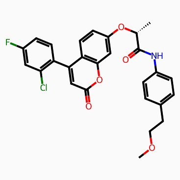 COCCc1ccc(NC(=O)[C@@H](C)Oc2ccc3c(-c4ccc(F)cc4Cl)cc(=O)oc3c2)cc1